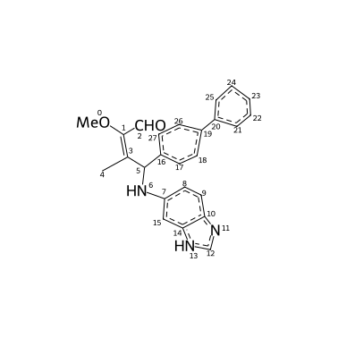 CO/C(C=O)=C(\C)C(Nc1ccc2nc[nH]c2c1)c1ccc(-c2ccccc2)cc1